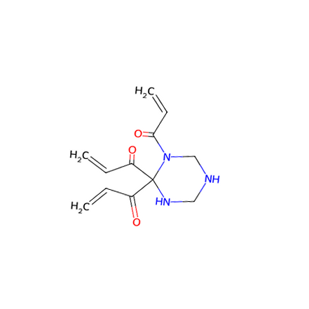 C=CC(=O)N1CNCNC1(C(=O)C=C)C(=O)C=C